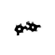 Cc1ccnc(COc2ccc(C)nc2Br)c1